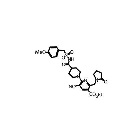 CCOC(=O)c1cc(C#N)c(N2CCC(C(=O)NS(=O)(=O)Cc3ccc(OC)cc3)CC2)nc1CN1CCCC1=O